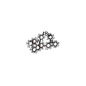 CC(C)(C)c1ccc(N(c2cccc(-c3ccc4c5ccccc5n(-c5ccccc5)c4c3)c2)c2ccccc2-c2cccc3cccc(C4CCCCC4)c23)cc1